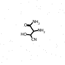 N#CC(O)C(N)C(N)=O